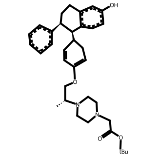 C[C@H](COC1=CCC([C@@H]2c3ccc(O)cc3CC[C@@H]2c2ccccc2)C=C1)N1CCN(CC(=O)OC(C)(C)C)CC1